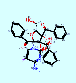 Nc1nc(=O)n([C@]2(C(=O)c3ccccc3)O[C@H](CO)[C@](O)(C(=O)c3ccccc3)[C@]2(O)C(=O)c2ccccc2)cc1I